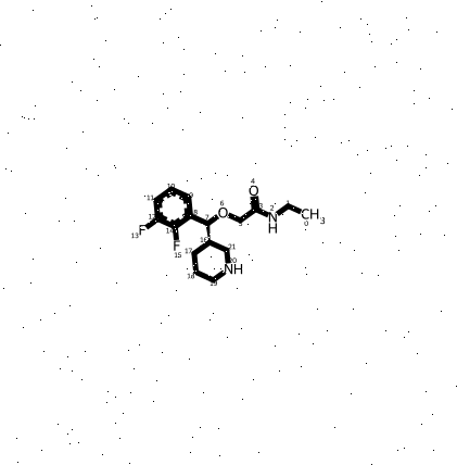 CCNC(=O)COC(c1cccc(F)c1F)[C@@H]1CCCNC1